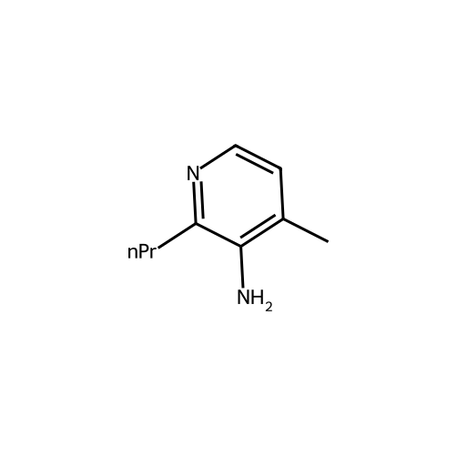 CCCc1nccc(C)c1N